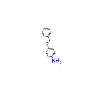 Nc1ccc(SCc2ccccc2)cc1